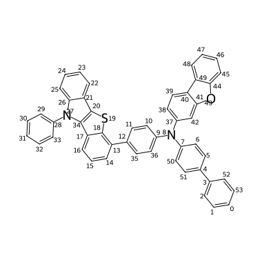 c1ccc(-c2ccc(N(c3ccc(-c4cccc5c4sc4c6ccccc6n(-c6ccccc6)c54)cc3)c3ccc4c(c3)oc3ccccc34)cc2)cc1